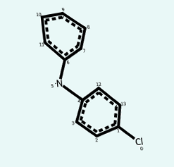 Clc1ccc([N]c2ccccc2)cc1